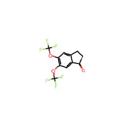 O=C1CCc2cc(OC(F)(F)F)c(OC(F)(F)F)cc21